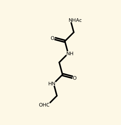 CC(=O)NCC(=O)NCC(=O)NCC=O